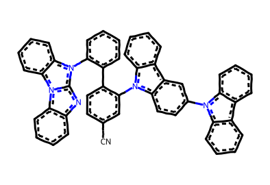 N#Cc1ccc(-c2ccccc2-n2c3ccccc3n3c4ccccc4nc23)c(-n2c3ccccc3c3cc(-n4c5ccccc5c5ccccc54)ccc32)c1